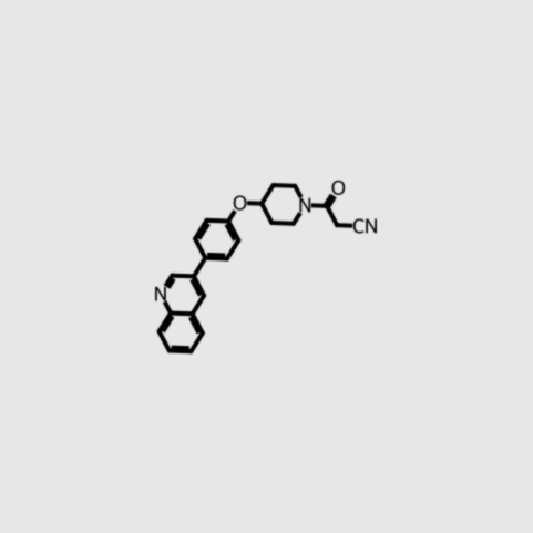 N#CCC(=O)N1CCC(Oc2ccc(-c3cnc4ccccc4c3)cc2)CC1